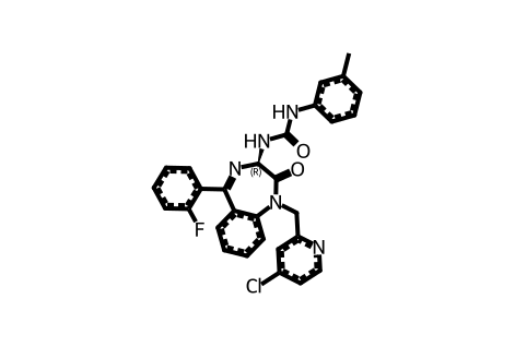 Cc1cccc(NC(=O)N[C@@H]2N=C(c3ccccc3F)c3ccccc3N(Cc3cc(Cl)ccn3)C2=O)c1